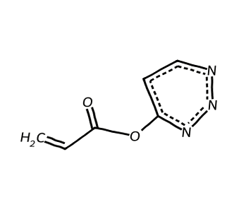 C=CC(=O)Oc1ccnnn1